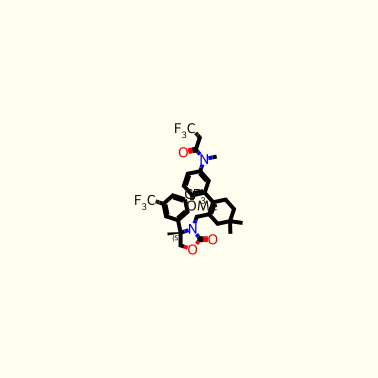 COc1ccc(N(C)C(=O)CC(F)(F)F)cc1C1=C(CN2C(=O)OC[C@]2(C)c2cc(C(F)(F)F)cc(C(F)(F)F)c2)CC(C)(C)CC1